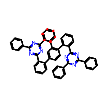 c1ccc(-c2nc(-c3ccccc3)nc(-c3ccccc3-c3ccc(-c4ccccc4-c4nc(-c5ccccc5)nc(-c5ccccc5)n4)c(-c4ccccc4)c3)n2)cc1